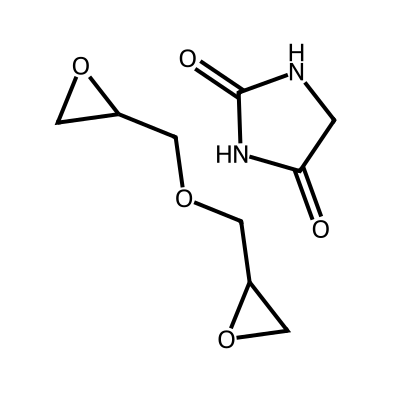 C(OCC1CO1)C1CO1.O=C1CNC(=O)N1